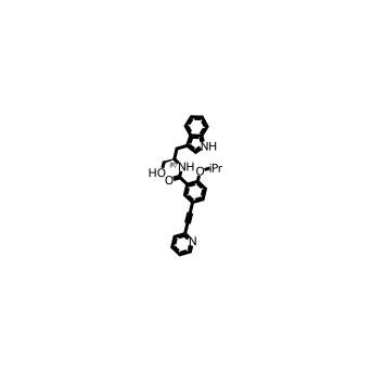 CC(C)Oc1ccc(C#Cc2ccccn2)cc1C(=O)N[C@@H](CO)Cc1c[nH]c2ccccc12